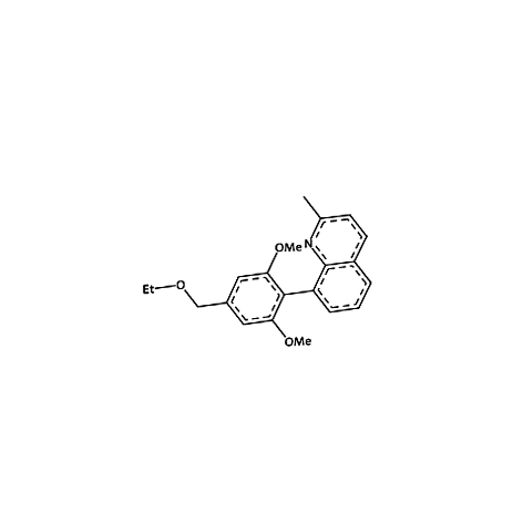 CCOCc1cc(OC)c(-c2cccc3ccc(C)nc23)c(OC)c1